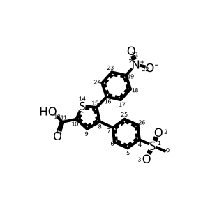 CS(=O)(=O)c1ccc(-c2cc(C(=O)O)sc2-c2ccc([N+](=O)[O-])cc2)cc1